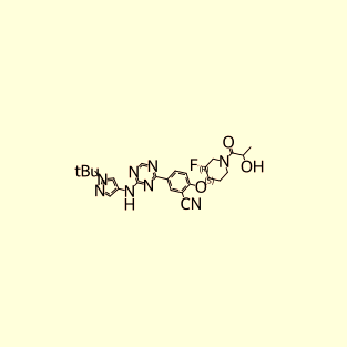 CC(O)C(=O)N1CC[C@H](Oc2ccc(-c3ncnc(Nc4cnn(C(C)(C)C)c4)n3)cc2C#N)[C@H](F)C1